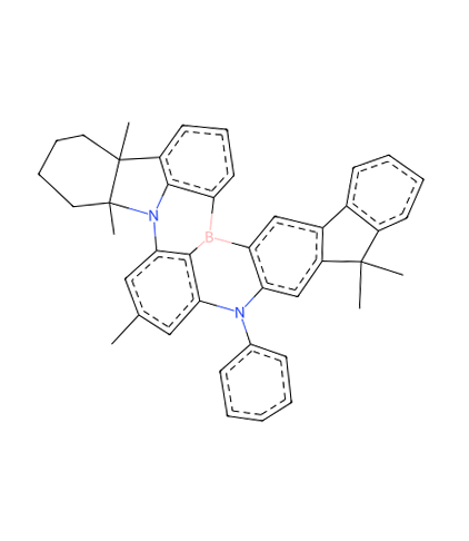 Cc1cc2c3c(c1)N1c4c(cccc4C4(C)CCCCC14C)B3c1cc3c(cc1N2c1ccccc1)C(C)(C)c1ccccc1-3